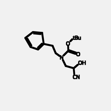 CC(C)(C)OC(=O)N(CCc1ccccc1)CC(O)C#N